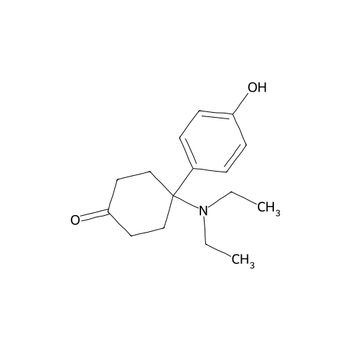 CCN(CC)C1(c2ccc(O)cc2)CCC(=O)CC1